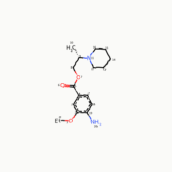 CCOc1cc(C(=O)OC[C@H](C)N2CCCCC2)ccc1N